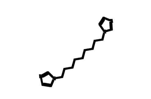 c1cn(CCCCCCCCCn2ccnc2)cn1